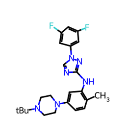 Cc1ccc(N2CCN(C(C)(C)C)CC2)cc1Nc1ncn(-c2cc(F)cc(F)c2)n1